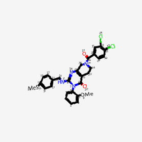 COc1ccccc1-n1c(NCc2ccc(SC)cc2)nc2c(c1=O)CCN(C(=O)c1ccc(Cl)c(Cl)c1)C2